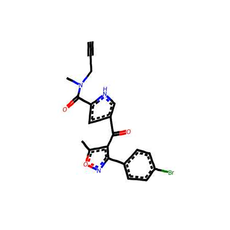 C#CCN(C)C(=O)c1cc(C(=O)c2c(-c3ccc(Br)cc3)noc2C)c[nH]1